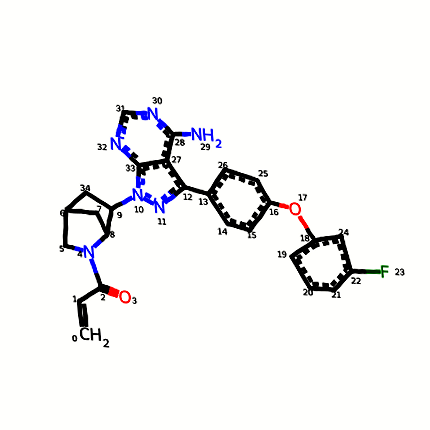 C=CC(=O)N1CC2CC1C(n1nc(-c3ccc(Oc4cccc(F)c4)cc3)c3c(N)ncnc31)C2